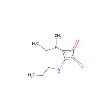 CCCNc1c(N(C)CC)c(=O)c1=O